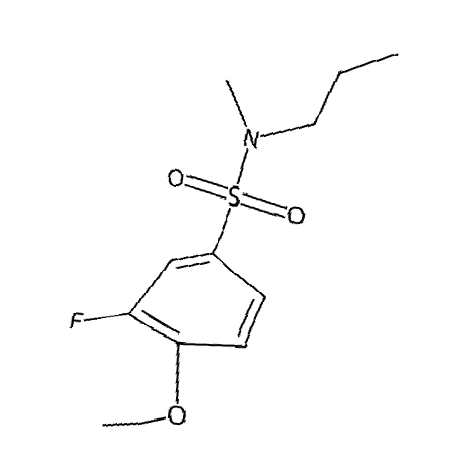 CCCN(C)S(=O)(=O)c1ccc(OC)c(F)c1